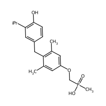 Cc1cc(OCP(C)(=O)O)cc(C)c1Cc1ccc(O)c(C(C)C)c1